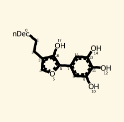 CCCCCCCCCCCCc1coc(-c2cc(O)c(O)c(O)c2)c1O